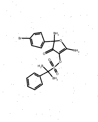 BC1(c2ccc(Br)cc2)OC(N)=C(OS(=O)(=O)C(B)(B)c2ccccc2)C1=O